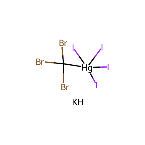 Br[C](Br)(Br)[Hg]([I])([I])([I])[I].[KH]